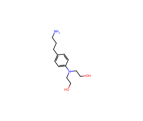 NCCCc1ccc(N(CCO)CCO)cc1